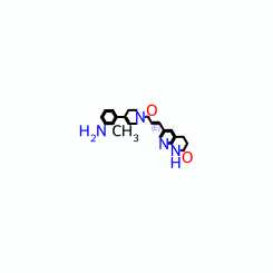 Cc1c(N)cccc1C1=CCN(C(=O)/C=C/c2cnc3c(c2)CCC(=O)N3)CC1